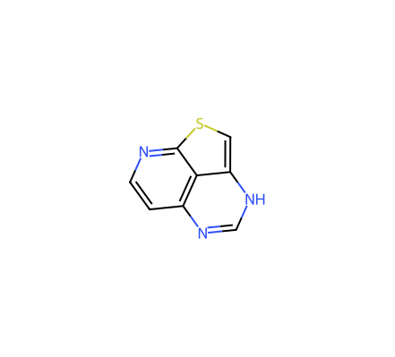 C1=Nc2ccnc3scc(c23)N1